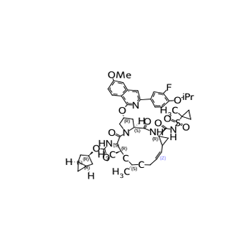 COc1ccc2c(O[C@@H]3C[C@H]4C(=O)N[C@]5(C(=O)NS(=O)(=O)C6(C)CC6)CC5/C=C\CC[C@H](C)C[C@@H](C)[C@H](NC(=O)O[C@@H]5C[C@@H]6C[C@@H]6C5)C(=O)N4C3)nc(-c3ccc(OC(C)C)c(F)c3)cc2c1